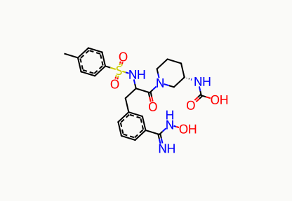 Cc1ccc(S(=O)(=O)NC(Cc2cccc(C(=N)NO)c2)C(=O)N2CCC[C@H](NC(=O)O)C2)cc1